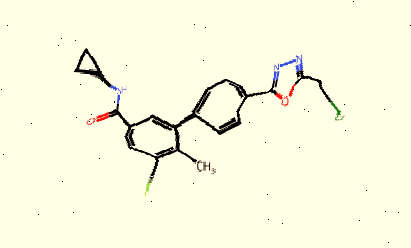 Cc1c(F)cc(C(=O)NC2CC2)cc1-c1ccc(-c2nnc(CCl)o2)cc1